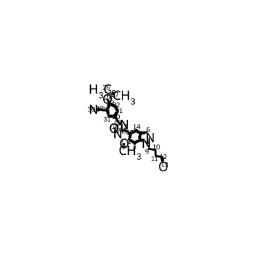 COc1cc2c(cnn2CCCC=O)cc1-c1noc(-c2ccc(OC(C)C)c(C#N)c2)n1